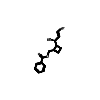 CCC/C=C/[C@H](O)C1CCC1COC(=O)c1ccccc1